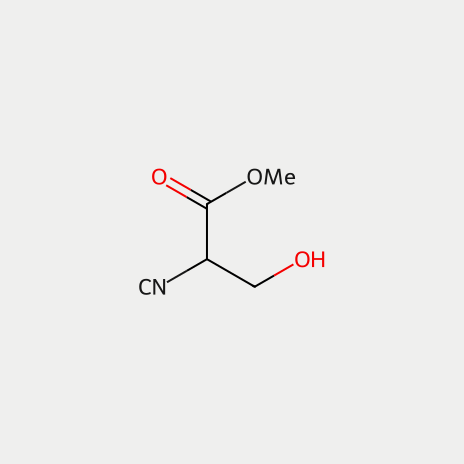 [C-]#[N+]C(CO)C(=O)OC